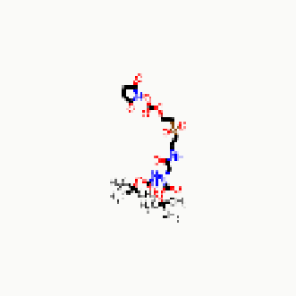 CC(C)(C)OC(=O)NN(CC(=O)NCCS(=O)(=O)CCOC(=O)ON1C(=O)CCC1=O)C(=O)OC(C)(C)C